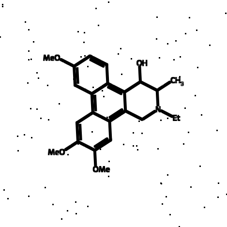 CCN1Cc2c(c3ccc(OC)cc3c3cc(OC)c(OC)cc23)C(O)C1C